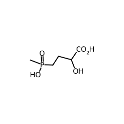 CP(=O)(O)CCC(O)C(=O)O